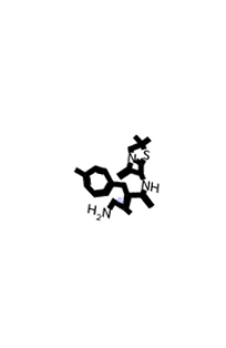 C=C(NC1C(=C)N2CC(C)(C)SC12)/C(CC1=C=CC=C(C)C=C1)=C(\C)CN